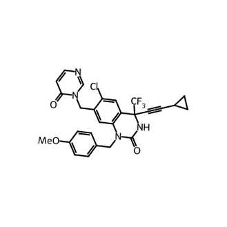 COc1ccc(CN2C(=O)NC(C#CC3CC3)(C(F)(F)F)c3cc(Cl)c(Cn4cnccc4=O)cc32)cc1